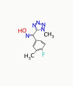 Cc1cc(/C(=N/O)c2nnnn2C)ccc1F